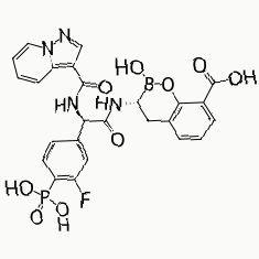 O=C(O)c1cccc2c1OB(O)[C@@H](NC(=O)[C@H](NC(=O)c1cnn3ccccc13)c1ccc(P(=O)(O)O)c(F)c1)C2